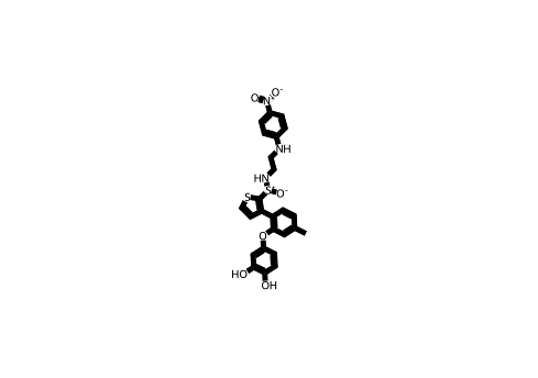 Cc1ccc(-c2ccsc2[S+]([O-])NCCNc2ccc([N+](=O)[O-])cc2)c(Oc2ccc(O)c(O)c2)c1